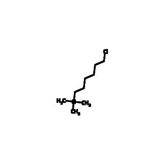 C[Si](C)(C)CCCCCCCl